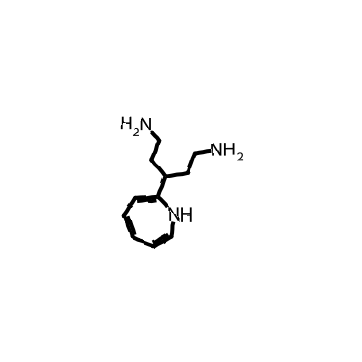 NCCC(CCN)C1=CC=CC=CN1